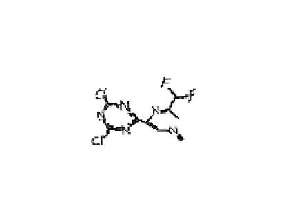 C=N/C=C(\N=C(/C)C(F)F)c1nc(Cl)nc(Cl)n1